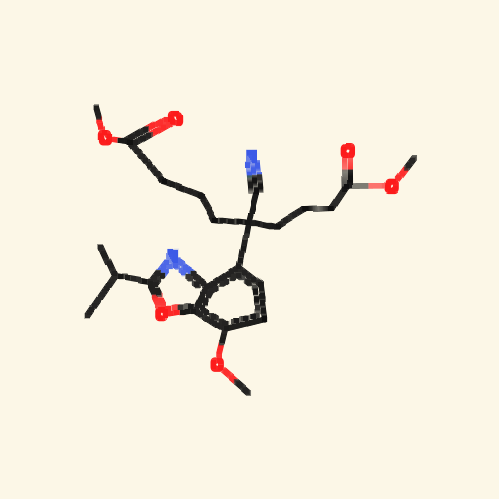 COC(=O)CCCC(C#N)(CCCC(=O)OC)c1ccc(OC)c2oc(C(C)C)nc12